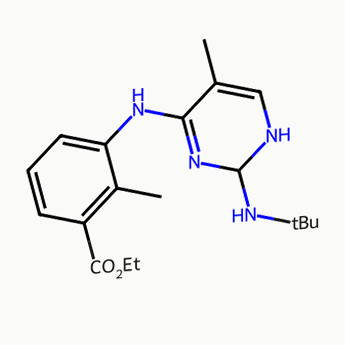 CCOC(=O)c1cccc(NC2=NC(NC(C)(C)C)NC=C2C)c1C